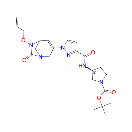 C=CCON1C(=O)N2CC(n3ccc(C(=O)N[C@H]4CCN(C(=O)OC(C)(C)C)C4)n3)=CC1C2